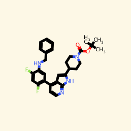 CC(C)(C)OC(=O)N1CCC(c2cc3c(-c4cc(NCc5ccccc5)c(F)cc4F)ccnc3[nH]2)CC1